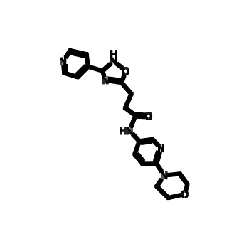 O=C(CCC1=NC(c2ccncc2)NO1)Nc1ccc(N2CCOCC2)nc1